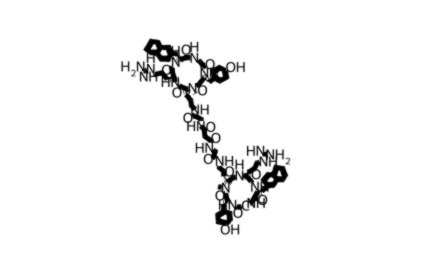 CN1C(=O)[C@@H](Cc2ccc(O)cc2)NC(=O)CNC(=O)[C@H](Cc2ccc3ccccc3c2)NC(=O)[C@H](CCCNC(=N)N)NC(=O)[C@H]1CCCNC(=O)CNC(=O)CC(=O)NCC(=O)NCCC[C@@H]1C(=O)N[C@@H](CCCNC(=N)N)C(=O)N[C@@H](Cc2ccc3ccccc3c2)C(=O)NCC(=O)N[C@H](Cc2ccc(O)cc2)C(=O)N1C